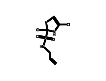 C=CCNS(=O)(=O)C1(Cl)NC(Cl)=CS1